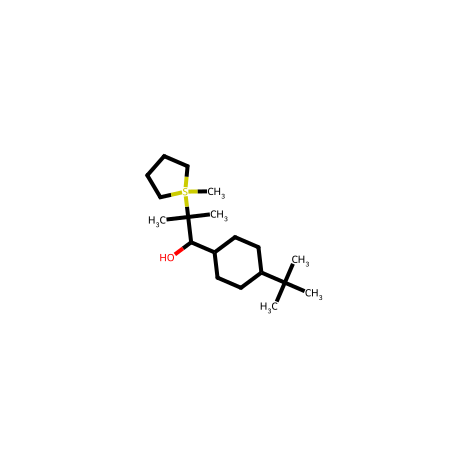 CC(C)(C)C1CCC(C(O)C(C)(C)S2(C)CCCC2)CC1